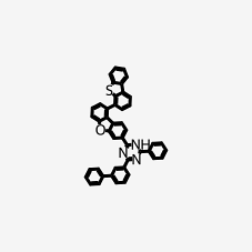 c1ccc(-c2cccc(C3=NC(c4ccccc4)NC(c4ccc5c(c4)oc4cccc(-c6cccc7c6sc6ccccc67)c45)=N3)c2)cc1